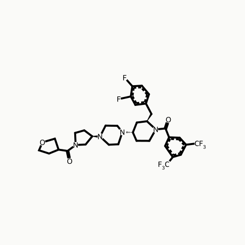 O=C(C1CCOC1)N1CC[C@@H](N2CCN([C@H]3CCN(C(=O)c4cc(C(F)(F)F)cc(C(F)(F)F)c4)[C@H](Cc4ccc(F)c(F)c4)C3)CC2)C1